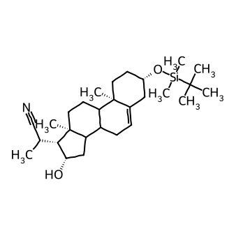 CC(C#N)[C@H]1[C@@H](O)CC2C3CC=C4C[C@@H](O[Si](C)(C)C(C)(C)C)CC[C@]4(C)C3CC[C@@]21C